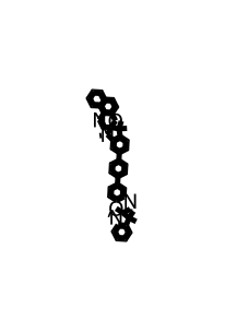 CN1c2ccccc2C(C)(C)C12C=Nc1cc(-c3ccc(-c4ccc5c(c4)N(C)C4(C=Nc6c(ccc7ccccc67)O4)C5(C)C)cc3)ccc1O2